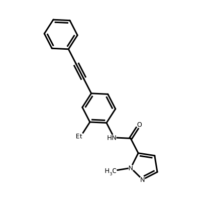 CCc1cc(C#Cc2ccccc2)ccc1NC(=O)c1ccnn1C